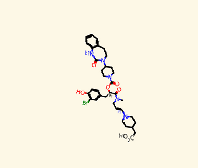 CN(C/C=C/N1CCC(CC(=O)O)CC1)C(=O)[C@@H](Cc1ccc(O)c(Br)c1)OC(=O)N1CCC(N2CCc3ccccc3NC2=O)CC1